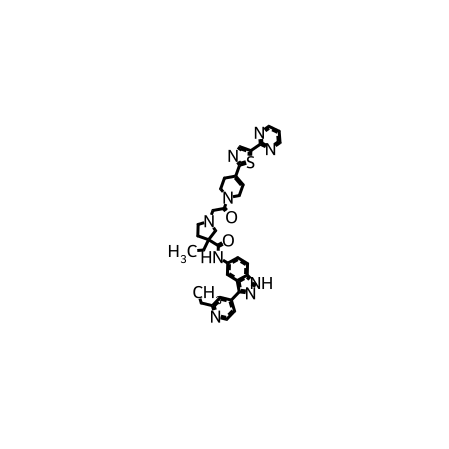 CCc1cc(-c2n[nH]c3ccc(NC(=O)C4(CC)CCN(CC(=O)N5CC=C(c6ncc(-c7ncccn7)s6)CC5)C4)cc23)ccn1